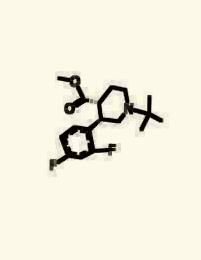 COC(=O)[C@@H]1CCN(C(C)(C)C)C[C@H]1c1ccc(F)cc1F